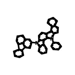 c1ccc(-n2c3ccc4ccccc4c3c3ccc4c(c5ccccc5n4-c4cc5c6c(cccc6c4)-c4ccccc4-5)c32)cc1